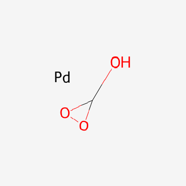 OC1OO1.[Pd]